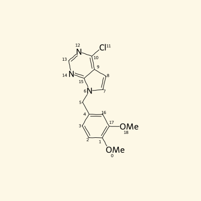 COc1ccc(Cn2ccc3c(Cl)ncnc32)cc1OC